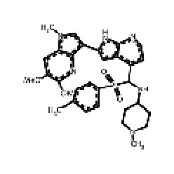 COc1cc2c(nc1OC)c(-c1cc3c(C(NC4CCN(C)CC4)S(=O)(=O)c4ccc(C)cc4)ccnc3[nH]1)cn2C